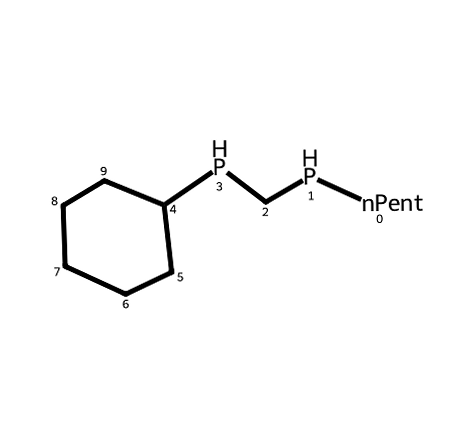 CCCCCPCPC1CCCCC1